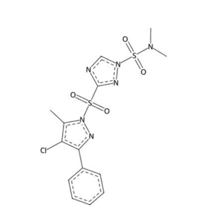 Cc1c(Cl)c(-c2ccccc2)nn1S(=O)(=O)c1ncn(S(=O)(=O)N(C)C)n1